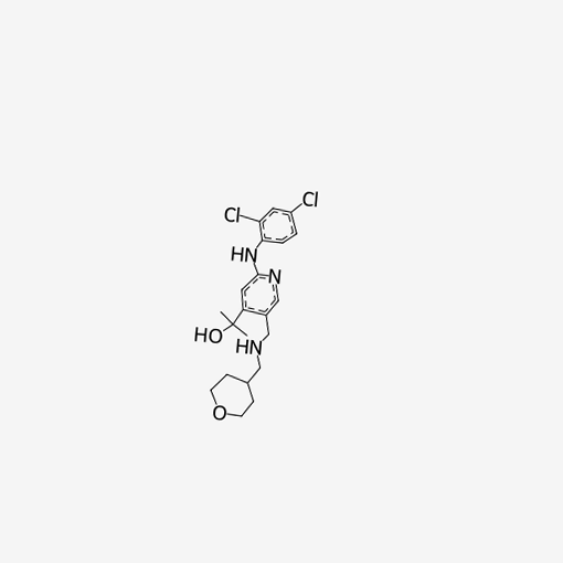 CC(C)(O)c1cc(Nc2ccc(Cl)cc2Cl)ncc1CNCC1CCOCC1